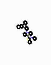 c1ccc(N2c3cccc4c3B(c3ccccc3N4c3ccc(-c4ccccc4-c4ccc5c(c4)CCCC5)cc3)c3sc4ccccc4c32)cc1